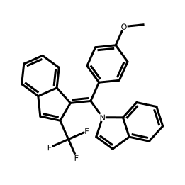 COc1ccc(C(=C2C(C(F)(F)F)=Cc3ccccc32)n2ccc3ccccc32)cc1